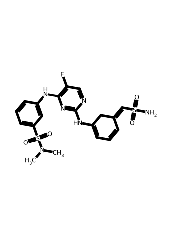 CN(C)S(=O)(=O)c1cccc(Nc2nc(NC3=CC=CC(=CS(N)(=O)=O)C3)ncc2F)c1